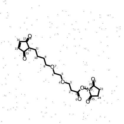 O=C(CCOCCOCCCCC1C(=O)C=CC1=O)ON1C(=O)CCC1=O